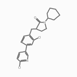 O=C1C(Cc2ccc(-c3ccc(Cl)nc3)cc2Cl)CCN1C1CCCCC1